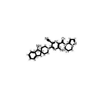 N#Cc1nc(C(=O)N2CCCn3nccc32)c(N)nc1N1CCC2(CC1)Cc1ccccc1[C@H]2N